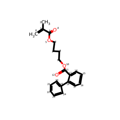 C=C(C)C(=O)OCCCCOC(=O)c1ccccc1-c1ccccc1